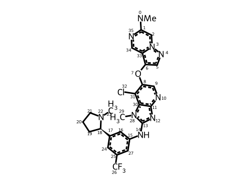 CNc1cn2ncc(Oc3cnc4nc(Nc5cc([C@H]6CCCN6C)cc(C(F)(F)F)c5)n(C)c4c3Cl)c2cn1